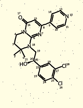 CC1(C)CCn2c(nc(-c3ccncc3)cc2=O)N1C[C@H](O)c1ccc(Cl)c(Cl)c1